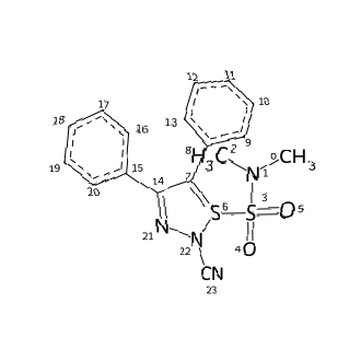 CN(C)S(=O)(=O)S1=C(c2ccccc2)C(c2ccccc2)=NN1C#N